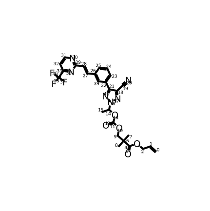 C=CCOC(=O)C(C)(C)COC(=O)OC(C)n1nc(C#N)c(-c2cccc(C=Cc3nccc(C(F)(F)F)n3)c2)n1